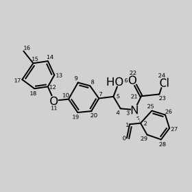 C=C[C@@]1(N(CC(O)c2ccc(Oc3ccc(C)cc3)cc2)C(=O)CCl)C=CC=CC1